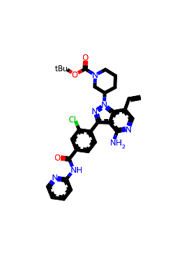 C=Cc1cnc(N)c2c(-c3ccc(C(=O)Nc4ccccn4)cc3Cl)nn(C3CCCN(C(=O)OC(C)(C)C)C3)c12